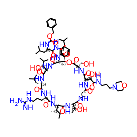 CC[C@H](C)[C@@H]1NC(=O)[C@@H](CCCNC(=N)N)NC(=O)[C@H](CC(C)C)NC(=O)[C@H]([C@H](O)C(C)C)NC(=O)[C@@H](NC(=O)[C@H](CC(C)C)NC(=O)[C@@H](CC(C)C)NC(=O)OCc2ccccc2)[C@@H](c2ccccc2)OC(=O)[C@H](CO)NC(=O)[C@H]([C@H](O)C(=O)NCCCN2CCOCC2)NC(=O)CNC(=O)[C@H]([C@H](C)O)NC1=O